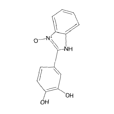 [O-][n+]1c(-c2ccc(O)c(O)c2)[nH]c2ccccc21